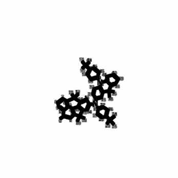 Cc1cc2c3c4c(cccc14)C(C)(C)c1cc(N(c4ccc(C(C)(C)C)cc4)c4ccc5c(c4)C(C)(C)c4ccccc4N5c4ccc(C(C)(C)C)cc4)cc(c1-3)C2(C)C